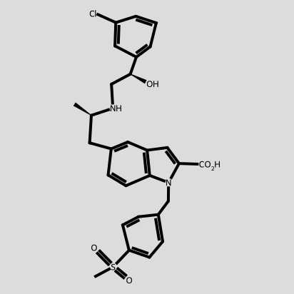 C[C@H](Cc1ccc2c(c1)cc(C(=O)O)n2Cc1ccc(S(C)(=O)=O)cc1)NC[C@H](O)c1cccc(Cl)c1